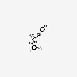 C=C(CNC(=O)c1cc(F)cc(C(F)(F)F)c1)NC1CN([C@H]2CC[C@H](O)CC2)C1